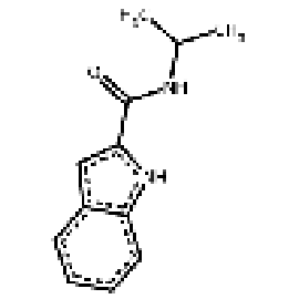 CC(C)NC(=O)c1cc2ccccc2[nH]1